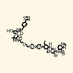 CCc1cc(Nc2ncc(Br)c(Nc3ccc4nccnc4c3P(C)(C)=O)n2)c(OC)cc1N1CCC(N2CCN(CCOCCC(=O)N[C@H](C(=O)N3C[C@H](O)C[C@H]3C(=O)NCc3ccc(-c4scnc4C)cc3)C(C)(C)C)CC2)CC1